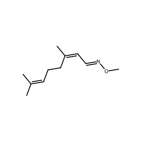 CON=CC=C(C)CCC=C(C)C